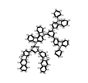 c1ccc(-n2c3ccccc3c3cc(-c4cc(-c5ccc6c(c5)c5ccccc5n6-c5ccccc5)cc(-n5c6ccccc6c6c7c8ccccc8n(-c8nc(-c9ccc%10oc%11cc%12ccccc%12cc%11c%10c9)cc(-c9ccc%10oc%11cc%12ccccc%12cc%11c%10c9)n8)c7ccc65)c4)ccc32)cc1